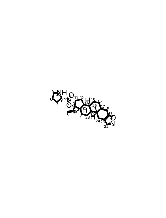 C=C[C@]1(OC(=O)[C@@H]2CCCN2)CC[C@H]2[C@@H]3CCC4=Cc5oncc5C[C@]4(C)[C@H]3CC[C@@]21C